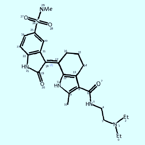 CCN(CC)CCNC(=O)c1c(C)[nH]c2c1CCC/C2=C1/C(=O)Nc2ccc(S(=O)(=O)NC)cc21